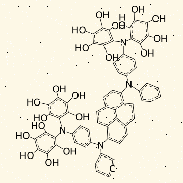 Oc1c(O)c(O)c(N(c2ccc(N(c3ccccc3)c3ccc4ccc5c(N(c6ccccc6)c6ccc(N(c7c(O)c(O)c(O)c(O)c7O)c7c(O)c(O)c(O)c(O)c7O)cc6)ccc6ccc3c4c65)cc2)c2c(O)c(O)c(O)c(O)c2O)c(O)c1O